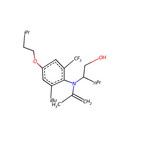 C=C(C)N(c1c(C(C)CC)cc(OCCC(C)C)cc1C(F)(F)F)C(CO)CCC